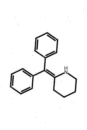 c1ccc(C(=C2CCCCN2)c2ccccc2)cc1